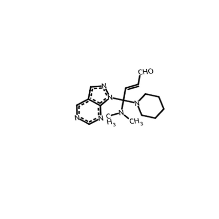 CN(C)C(C=CC=O)(N1CCCCC1)n1ncc2cncnc21